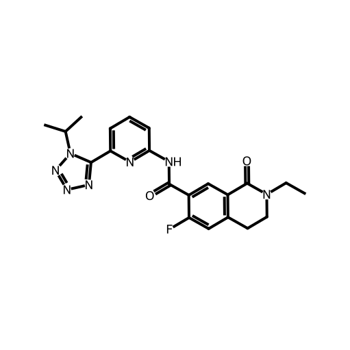 CCN1CCc2cc(F)c(C(=O)Nc3cccc(-c4nnnn4C(C)C)n3)cc2C1=O